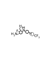 Cc1c(Nc2ccc(N3CCC(C(F)(F)F)CC3)cc2)ccc(CN)c1F